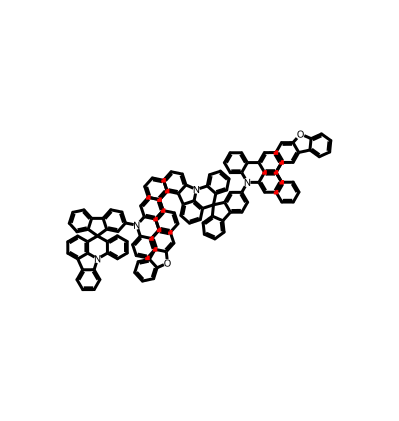 c1ccc(-c2cccc(-c3ccccc3N(c3cccc(-c4ccc5oc6ccccc6c5c4)c3)c3ccc4c(c3)C3(c5ccccc5-4)c4ccccc4-n4c5cccc(-c6ccc(N(c7ccc8c(c7)C7(c9ccccc9-8)c8ccccc8-n8c9ccccc9c9cccc7c98)c7ccccc7-c7cccc(-c8ccccc8)c7)c(-c7ccc8oc9ccccc9c8c7)c6)c5c5cccc3c54)c2)cc1